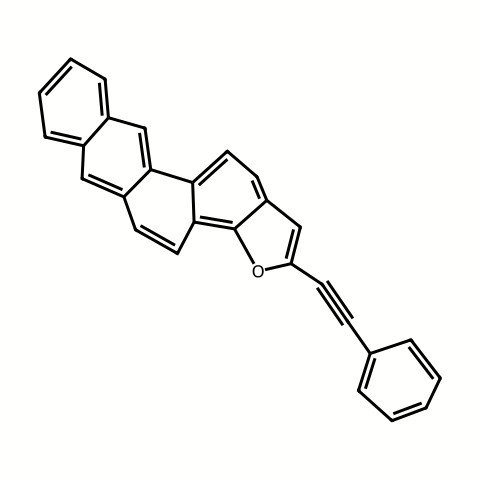 C(#Cc1cc2ccc3c4cc5ccccc5cc4ccc3c2o1)c1ccccc1